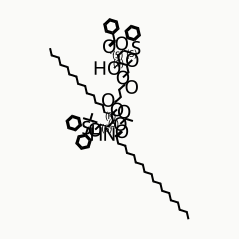 CCCCCCCCCCCCCCCCCC(=O)N[C@@H](CO[Si](c1ccccc1)(c1ccccc1)C(C)(C)C)[C@H](OC(C)=O)[C@@H](CCCCCCCCCCCCCC)OC(=O)CCC(=O)OCC1O[C@@H](Sc2ccccc2)C(OC(=O)c2ccccc2)[C@@H](C)[C@@H]1O